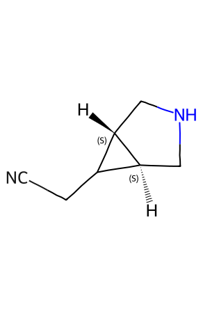 N#CCC1[C@@H]2CNC[C@@H]12